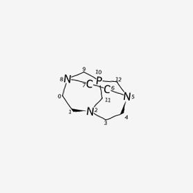 C1C[N@]2CC[N@@]3CCN1CP(C2)C3